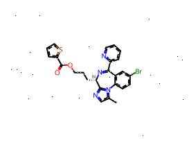 Cc1cnc2n1-c1ccc(Br)cc1C(c1ccccn1)=N[C@H]2CCCOC(=O)c1cccs1